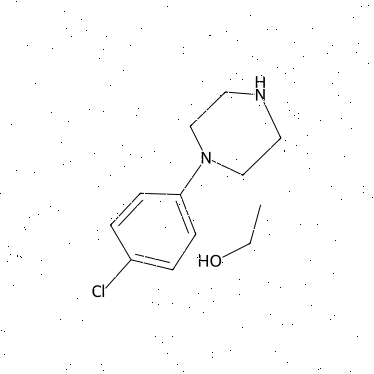 CCO.Clc1ccc(N2CCNCC2)cc1